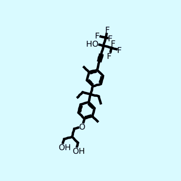 CCC(CC)(c1ccc(C#CC(O)(C(F)(F)F)C(F)(F)F)c(C)c1)c1ccc(OCC(CO)CO)c(C)c1